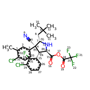 Cc1cc([C@@]2(C#N)[C@H](CC(C)(C)C)N[C@@H](C(=O)OC(=O)C(F)(F)F)[C@@H]2c2cccc(Cl)c2F)ccc1Cl